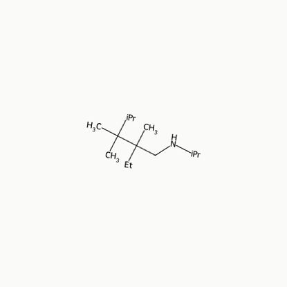 CCC(C)(CNC(C)C)C(C)(C)C(C)C